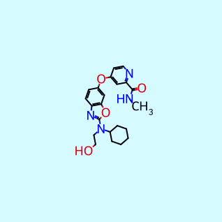 CNC(=O)c1cc(Oc2ccc3nc(N(CCO)C4CCCCC4)oc3c2)ccn1